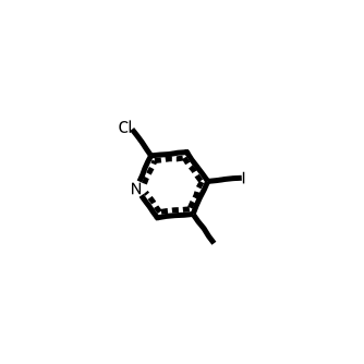 Cc1cnc(Cl)cc1I